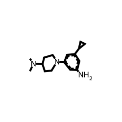 CN(C)C1CCN(c2cc(N)cc(C3CC3)c2)CC1